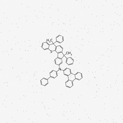 CC1(c2ccccc2)c2ccccc2Sc2c1ccc1c2-c2ccc(N(c3ccc(-c4ccccc4)cc3)c3ccc4c5ccccc5c5ccccc5c4c3)cc2C1(C)c1ccccc1